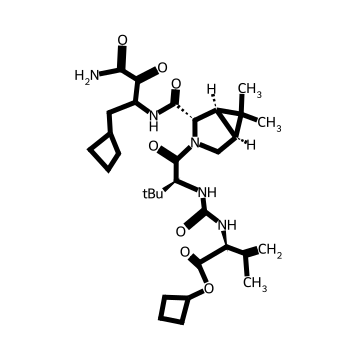 C=C(C)[C@H](NC(=O)N[C@H](C(=O)N1C[C@H]2[C@@H]([C@H]1C(=O)NC(CC1CCC1)C(=O)C(N)=O)C2(C)C)C(C)(C)C)C(=O)OC1CCC1